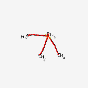 [CH2]Cc1cc(SCCCCCCCCCCCCCCCCCCCCCCCCCCCC)c(SCCCCCCCCCCCCCCCCCCCCCCCCCCCC)c(SCCCCCCCCCCCCCCCCCCCCCCCCCCCC)c1